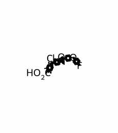 C[C@H]1CN(Cc2ccc(N(C)C(=O)[C@H]3CC[C@H](Oc4ccc(F)cc4)CC3)cc2Cl)CCN1C(=O)O